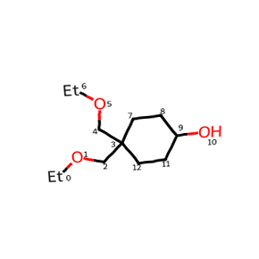 CCOCC1(COCC)CCC(O)CC1